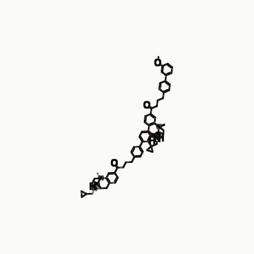 COc1cccc(-c2ccc(CCCC(=O)c3ccc4c(c3)[C@]3(C)CCN(CC5(c6ccccc6-c6ccc(CCCC(=O)c7ccc8c(c7)[C@]7(C)CC[C@@H](CC9CC9)C(C8)[C@@H]7C)cc6)CC5)[C@H](C4)[C@@H]3C)cc2)c1